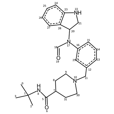 CC(C)(C)NC(=O)C1CCN(Cc2cccc(N(C=O)C3CNc4ccccc43)c2)CC1